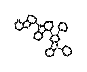 c1ccc(-c2cc3c(cc2-c2cccc4c2c2ccccc2n4-c2cccc4c2oc2cccnc24)c2ccccc2n3-c2ccccc2)cc1